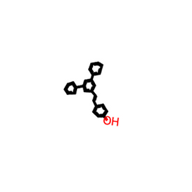 Oc1ccc(/C=C/c2cc(-c3ccccc3)cc(-c3ccccc3)c2)cc1